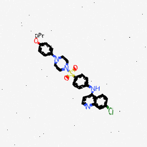 CCCOc1ccc(N2CCN(S(=O)(=O)c3ccc(Nc4ccnc5cc(Cl)ccc45)cc3)CC2)cc1